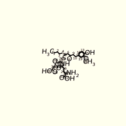 CCCCC[C@H](CC(=O)CCc1ccc(O)c(OC)c1)SC[C@H](NC(=O)CC[C@H](N)C(=O)O)C(=O)NCC(=O)O